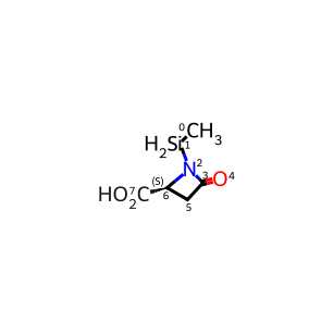 C[SiH2]N1C(=O)C[C@H]1C(=O)O